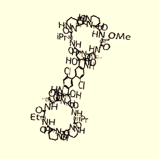 CC[C@@H]1NC(=O)[C@H]2CCCNN2C(=O)[C@@H]2CCCNN2C(=O)[C@@H](C(C)C)NC(=O)[C@@H]2C[C@@]3(O)c4cc(-c5cc6c(cc5Cl)N[C@H]5N7C(=O)[C@@H]([C@H](C)O)NC(=O)[C@H](COC)NC(=O)[C@H]8CCCNN8C(=O)[C@@H]8CCCNN8C(=O)[C@@H](C(C)C)NC(=O)[C@@H]7C[C@@]65O)c(Cl)cc4N[C@H]3N2C(=O)[C@@H]([C@H](C)O)NC1=O